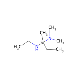 CCN[Si](C)(CC)N(C)C